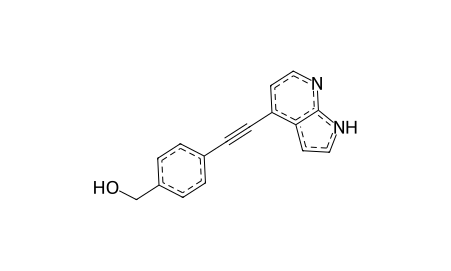 OCc1ccc(C#Cc2ccnc3[nH]ccc23)cc1